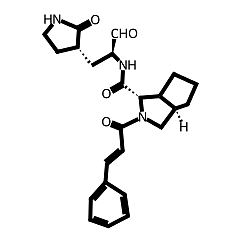 O=C[C@H](C[C@@H]1CCNC1=O)NC(=O)[C@@H]1C2CCC[C@H]2CN1C(=O)/C=C/c1ccccc1